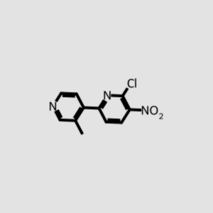 Cc1cnccc1-c1ccc([N+](=O)[O-])c(Cl)n1